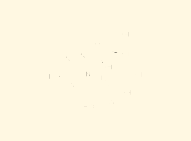 OCC(O)C(O)C(O)CO.OC[C@H]1O[C@@H](n2cnc3c(O)ncnc32)[C@H](O)[C@@H]1O